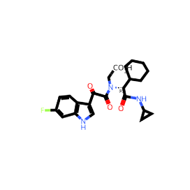 O=C(O)CN(C(=O)C(=O)c1c[nH]c2cc(F)ccc12)[C@@H](C(=O)NC1CC1)C1CCCCC1